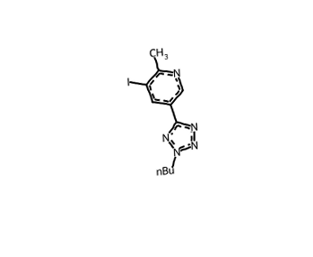 CCCCn1nnc(-c2cnc(C)c(I)c2)n1